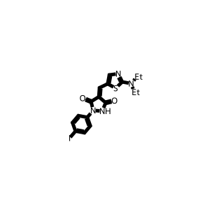 CCN(CC)c1ncc(C=C2C(=O)NN(c3ccc(I)cc3)C2=O)s1